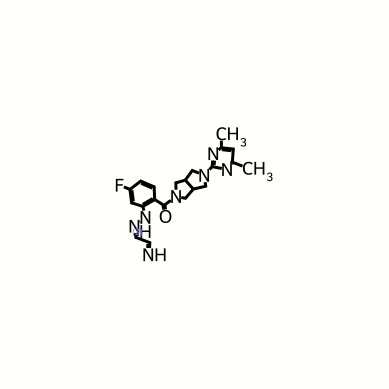 Cc1cc(C)nc(N2CC3CN(C(=O)c4ccc(F)cc4N/N=C\C=N)CC3C2)n1